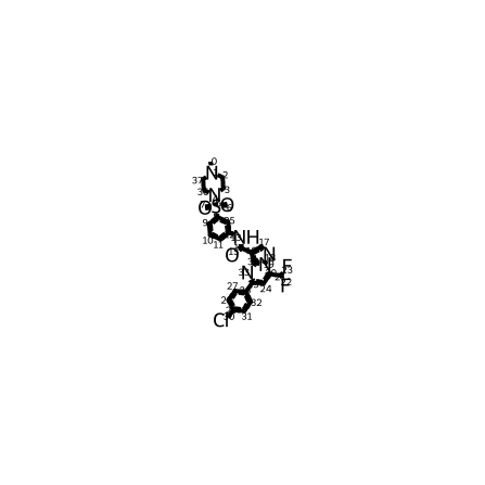 CN1CCN(S(=O)(=O)c2cccc(NC(=O)c3cnn4c(C(F)F)cc(-c5ccc(Cl)cc5)nc34)c2)CC1